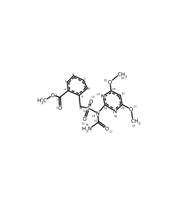 COC(=O)c1ccccc1CS(=O)(=O)N(C(N)=O)c1nc(OC)cc(OC)n1